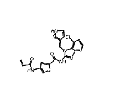 C=CC(=O)Nc1csc(C(=O)Nc2nc3cccc(Cl)c3n2Cc2cc[nH]n2)c1